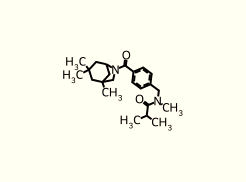 CC(C)C(=O)N(C)Cc1ccc(C(=O)N2CC3(C)CC2CC(C)(C)C3)cc1